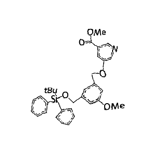 COC(=O)c1cncc(OCc2cc(CO[Si](c3ccccc3)(c3ccccc3)C(C)(C)C)cc(OC)c2)c1